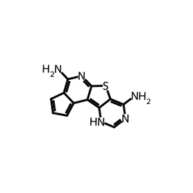 Nc1nc2sc3c(N)nc[nH]c3c2c2cccc12